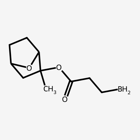 BCCC(=O)OC1(C)CC2CCC1O2